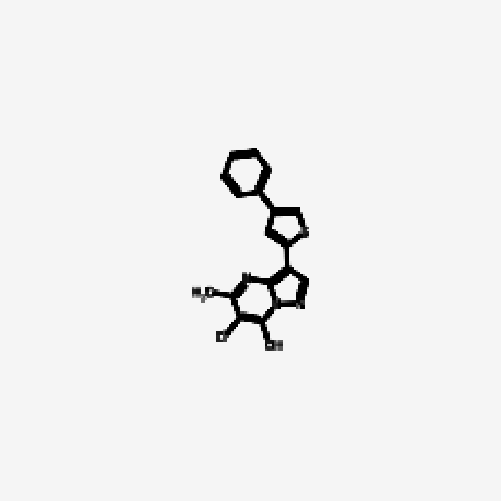 Cc1nc2c(-c3cc(-c4ccccc4)cs3)cnn2c(O)c1Cl